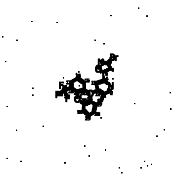 Cc1cnc([C@@H]2CC(Br)=NO2)cc1Oc1cccc(C(F)(F)F)c1Oc1ccccc1